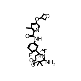 Cc1cc(OC2COC2)cnc1C(=O)Nc1ccc(F)c([C@]2(CF)CS(=O)(=O)C(C)(C)C(N)=N2)c1